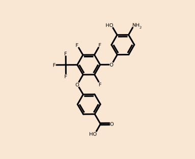 Nc1ccc(Oc2c(F)c(F)c(C(F)(F)F)c(Oc3ccc(C(=O)O)cc3)c2F)cc1O